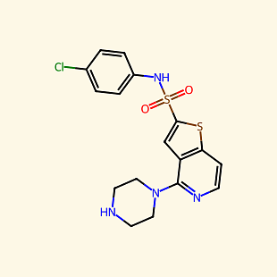 O=S(=O)(Nc1ccc(Cl)cc1)c1cc2c(N3CCNCC3)nccc2s1